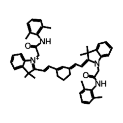 Cc1cccc(C)c1NC(=O)CN1/C(=C/C=C2C=C(/C=C/C3=[N+](CC(=O)Nc4c(C)cccc4C)c4ccccc4C3(C)C)CCC/2)C(C)(C)c2ccccc21